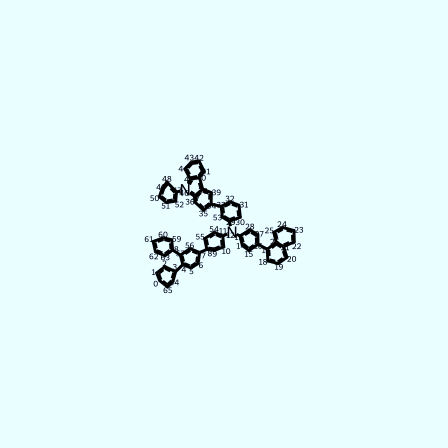 c1ccc(-c2ccc(-c3ccc(N(c4ccc(-c5cccc6ccccc56)cc4)c4cccc(-c5ccc6c(c5)c5ccccc5n6-c5ccccc5)c4)cc3)cc2-c2ccccc2)cc1